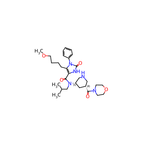 COCCCCc1c(C(=O)N(CC(C)C)[C@@H]2CNC[C@H](C(=O)N3CCOCC3)C2)[nH]c(=O)n1-c1ccccc1